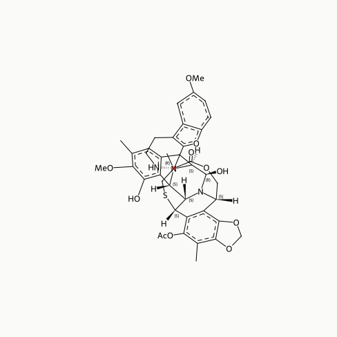 COc1ccc2oc3c(c2c1)CCN[C@]31CS[C@H]2c3c(OC(C)=O)c(C)c4c(c3[C@@H](COC1=O)N1[C@H]2[C@@H]2c3c(cc(C)c(OC)c3O)C[C@@H]([C@H]1O)N2C)OCO4